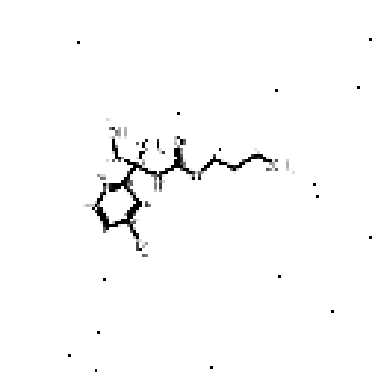 CCCCOC(=O)N[C@@](C)(CO)c1cc(Br)ccn1